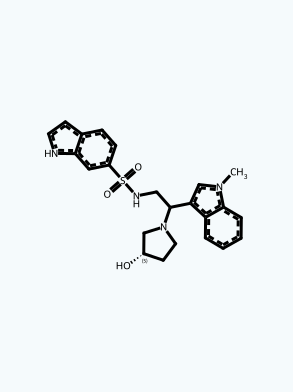 Cn1cc(C(CNS(=O)(=O)c2ccc3cc[nH]c3c2)N2CC[C@H](O)C2)c2ccccc21